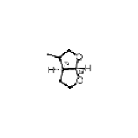 CC1CO[C@@H]2OCC[C@@H]12